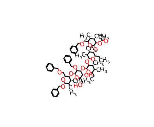 CCC1O[C@@H](O[C@@H]2C(OCc3ccccc3)[C@H](O[C@@H]3C(COCc4ccccc4)O[C@@H](OCc4ccccc4)C(C)[C@H]3C)OC(CO)[C@H]2O)[C@@H](O[C@@H]2OC(CC)[C@@H](O[C@@H]3OC(COCc4ccccc4)[C@H](C)[C@H](C)C3OC(C)=O)[C@H](C)C2C)C(C)[C@H]1C